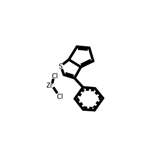 C1=CC2SC=C(c3ccccc3)C2=C1.[Cl][Zr][Cl]